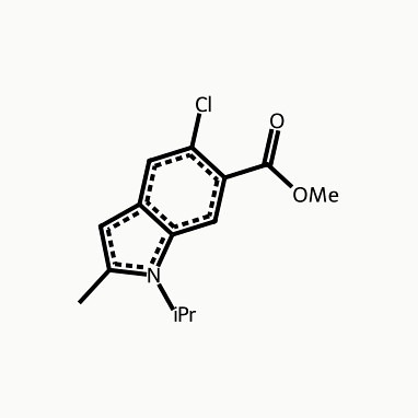 COC(=O)c1cc2c(cc1Cl)cc(C)n2C(C)C